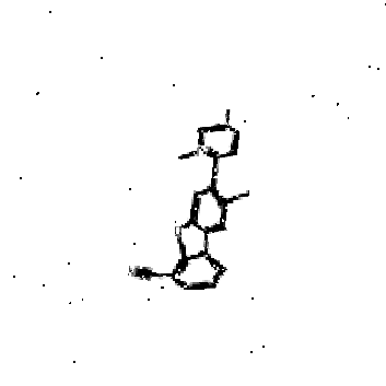 Cc1ccc(-c2cc3oc4c(C#N)cccc4c3cc2C)[n+](C)c1